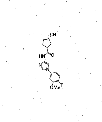 COc1cc(-n2cnc(NC(=O)C3CCN(C#N)C3)c2)ccc1F